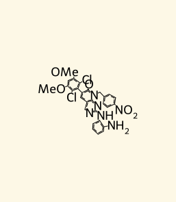 COc1cc(OC)c(Cl)c(-c2cc3cnc(Nc4ccccc4N)nc3n(Cc3ccc([N+](=O)[O-])cc3)c2=O)c1Cl